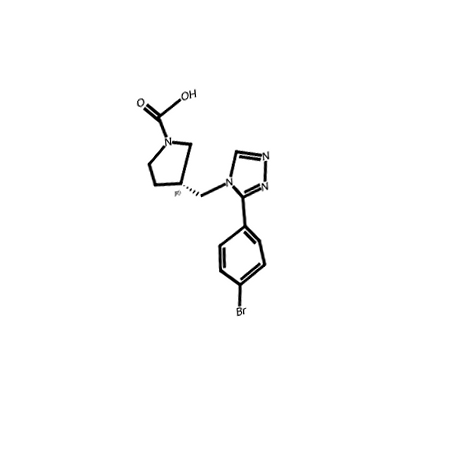 O=C(O)N1CC[C@@H](Cn2cnnc2-c2ccc(Br)cc2)C1